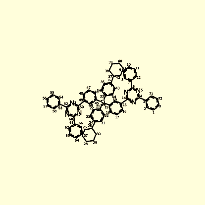 c1ccc(-c2nc(-c3ccccc3)nc(-c3cccc([Si](c4ccc(C5CCCCC5)cc4)(c4ccc(C5CCCCC5)cc4)c4cccc(-c5nc(-c6ccccc6)nc(-c6ccccc6)n5)c4)c3)n2)cc1